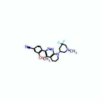 Cc1c(-c2ccc(C#N)cc2O)nnc2c1CCCN2[C@@H]1CN(C)CC(F)(F)C1